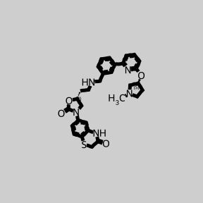 CN1CC[C@H](Oc2cccc(-c3cccc(CNCC[C@@H]4CN(c5ccc6c(c5)NC(=O)CS6)C(=O)O4)c3)n2)C1